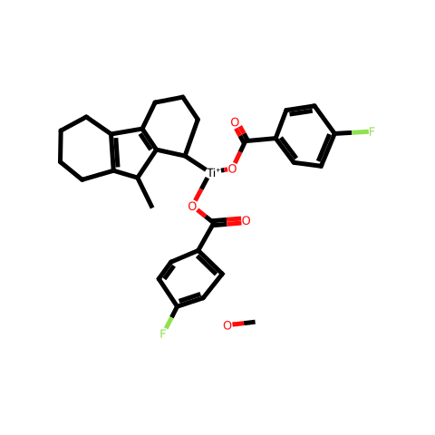 CC1C2=C(CCCC2)C2=C1[CH]([Ti+]([O]C(=O)c1ccc(F)cc1)[O]C(=O)c1ccc(F)cc1)CCC2.C[O-]